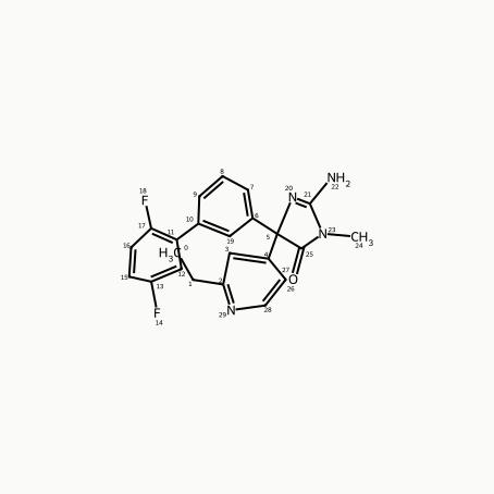 CCc1cc(C2(c3cccc(-c4cc(F)ccc4F)c3)N=C(N)N(C)C2=O)ccn1